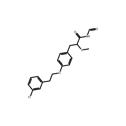 CSC(Cc1ccc(OCCc2cccc(Cl)c2)cc1)C(=O)NC=O